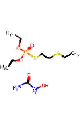 CCOP(=O)(OCC)SCCSCC.NC(=O)NO